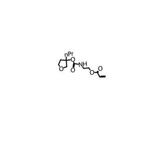 C=CC(=O)OCCNC(=O)OC1(CCC)CCOC1